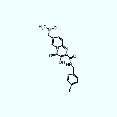 CN(C)Cc1ccc2nc(C(=O)NCc3ccc(F)cc3)c(O)c(=O)n2c1